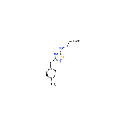 CNCCNc1nc(Cc2ccc(C)cc2)ns1